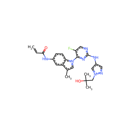 C=CC(=O)Nc1ccc2c(c1)c(C)cn2-c1nc(Nc2cnn(CC(C)(C)O)c2)ncc1F